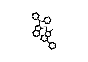 CC1=Cc2c(-c3ccccc3)cccc2[CH]1[Ti][CH]1C(P(c2ccccc2)c2ccccc2)=Cc2ccccc21